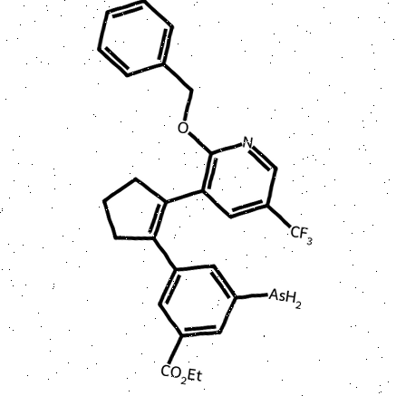 CCOC(=O)c1cc([AsH2])cc(C2=C(c3cc(C(F)(F)F)cnc3OCc3ccccc3)CCC2)c1